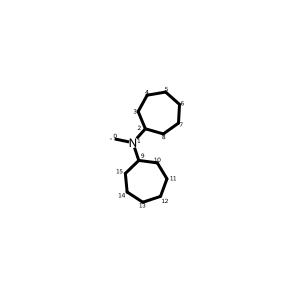 [CH2]N(C1CCCCCC1)C1CCCCCC1